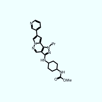 COC(=O)NC1CCC(Nc2nn(C(C)C)c3c2cnn2cc(-c4cccnc4)cc32)CC1